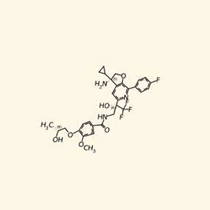 COc1cc(C(=O)NC[C@@](O)(c2cc3c(c(-c4ccc(F)cc4)n2)OC[C@]3(N)C2CC2)C(F)(F)F)ccc1OC[C@@H](C)O